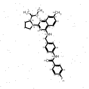 COC(C)[C@@H]1CCCN1c1nc(NCc2ccc(NC(=O)c3ccc(F)cc3)cc2)c2ccc(C)cc2n1